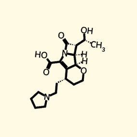 C[C@@H](O)[C@H]1C(=O)N2C(C(=O)O)=C3[C@@H](CCN4CCCC4)CCO[C@@H]3[C@H]12